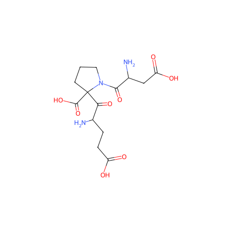 NC(CC(=O)O)C(=O)N1CCCC1(C(=O)O)C(=O)C(N)CCC(=O)O